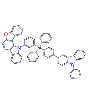 c1ccc(-n2c3ccccc3c3cc(-c4ccc([Si](c5ccccc5)(c5ccccc5)c5cccc(-n6c7ccccc7c7ccc8oc9ccccc9c8c76)c5)cc4)ccc32)cc1